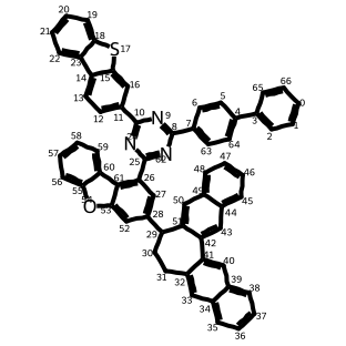 c1ccc(-c2ccc(-c3nc(-c4ccc5c(c4)sc4ccccc45)nc(-c4cc(C5CCc6cc7ccccc7cc6-c6cc7ccccc7cc65)cc5oc6ccccc6c45)n3)cc2)cc1